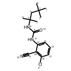 CC(C)(C)CC(C)(C)NC(=O)Nc1cccc(Cl)c1C#N